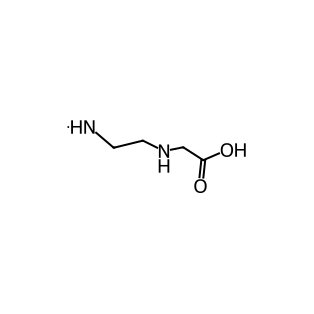 [NH]CCNCC(=O)O